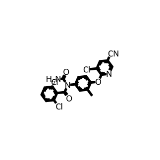 Cc1cc(N(C(N)=O)C(=O)c2c(Cl)cccc2Cl)ccc1Oc1ncc(C#N)cc1Cl